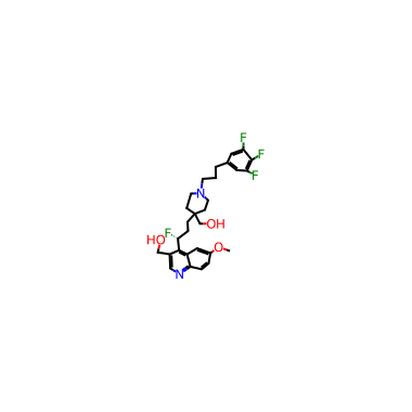 COc1ccc2ncc(CO)c([C@H](F)CCC3(CO)CCN(CCCc4cc(F)c(F)c(F)c4)CC3)c2c1